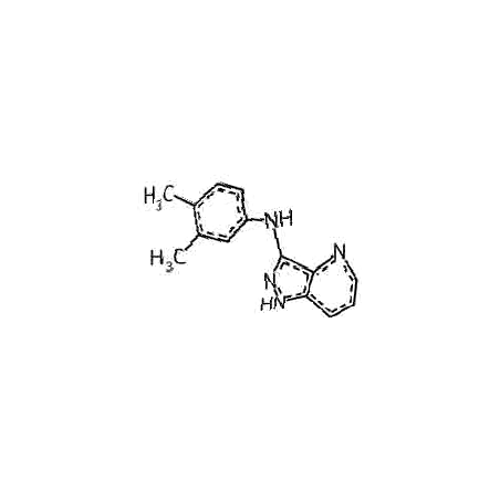 Cc1ccc(Nc2n[nH]c3cccnc23)cc1C